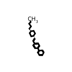 CCCCC[C@H]1CC[C@H](C=Cc2ccc(-c3ccccc3)cc2)CC1